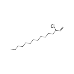 C=CC(Cl)CCCCCCCCCCCC